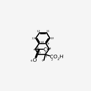 CC1(C(=O)O)CC2C(=O)CC1c1ccccc12